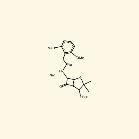 COc1cccc(OC)c1CC(=O)NC1C(=O)N2C1SC(C)(C)C2C(=O)[O-].[Na+]